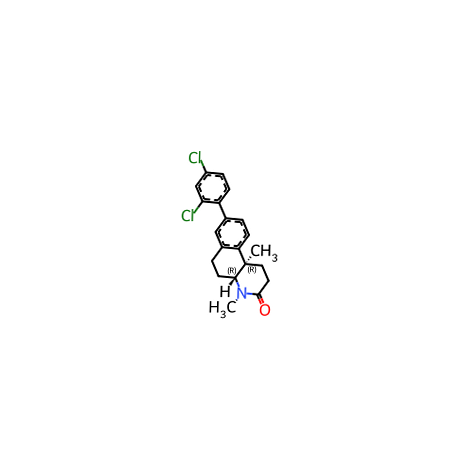 CN1C(=O)CC[C@]2(C)c3ccc(-c4ccc(Cl)cc4Cl)cc3CC[C@@H]12